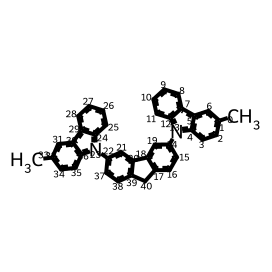 Cc1ccc2c(c1)c1ccccc1n2-c1ccc2c(c1)-c1cc(-n3c4ccccc4c4cc(C)ccc43)ccc1C2